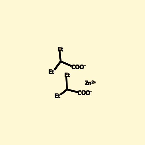 CCC(CC)C(=O)[O-].CCC(CC)C(=O)[O-].[Zn+2]